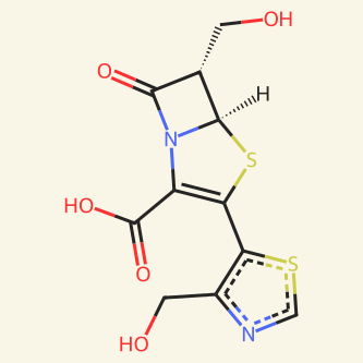 O=C(O)C1=C(c2scnc2CO)S[C@@H]2[C@@H](CO)C(=O)N12